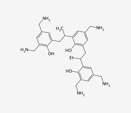 CCC(Cc1cc(CN)cc(C(C)Cc2cc(CN)cc(CN)c2O)c1O)c1cc(CN)cc(CN)c1O